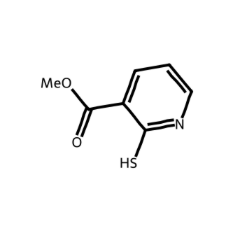 COC(=O)c1cccnc1S